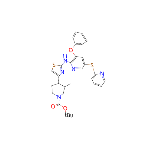 CC1CN(C(=O)OC(C)(C)C)CCC1c1csc(Nc2ncc(Sc3ccccn3)cc2Oc2ccccc2)n1